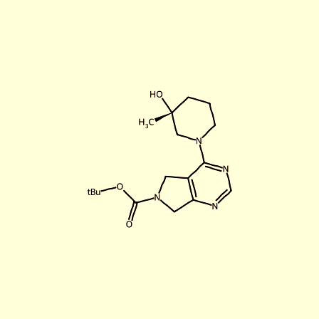 CC(C)(C)OC(=O)N1Cc2ncnc(N3CCC[C@@](C)(O)C3)c2C1